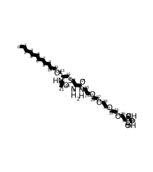 CCCCCCCCCCCCOC[C@H](CSC[C@H](N)C(=O)NCCOCCOCCOCCOCCP(=O)(O)O)NC(C)=O